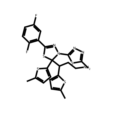 Cc1ccc(C(CCN)C2(c3ccc(C)s3)SC(c3cc(F)ccc3F)=NN2c2nnc(C)s2)s1